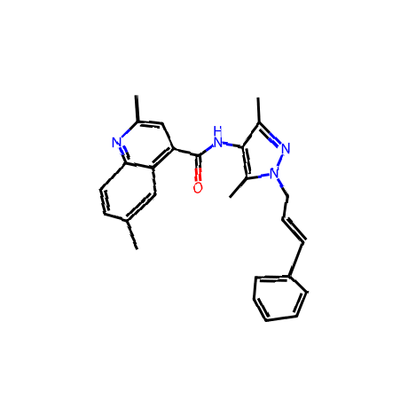 Cc1ccc2nc(C)cc(C(=O)Nc3c(C)nn(C/C=C/c4ccccc4)c3C)c2c1